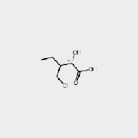 CCC(CCl)[C@H](O)C(=O)O